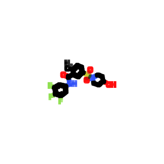 Cc1ccc(S(=O)(=O)N2CCC(O)CC2)cc1C(=O)Nc1cc(F)c(F)c(F)c1